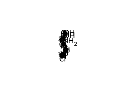 NC1C(c2cc(Cc3ccc(Oc4cccc(Cl)n4)cc3)no2)=CC=CN1COP(=O)(O)O